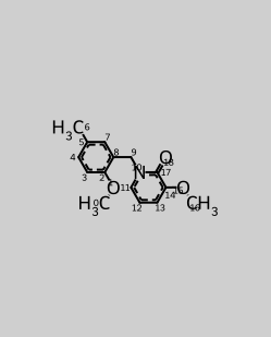 COc1ccc(C)cc1Cn1cccc(OC)c1=O